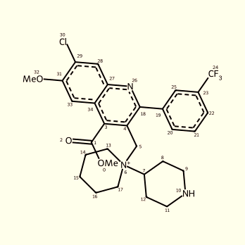 COC(=O)c1c(C[N+]2(C3CCNCC3)CCCCC2)c(-c2cccc(C(F)(F)F)c2)nc2cc(Cl)c(OC)cc12